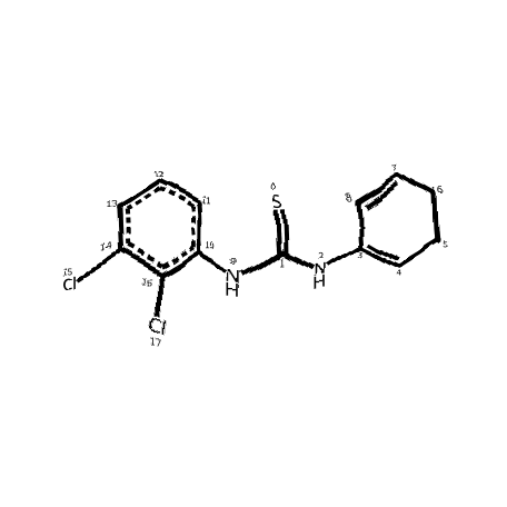 S=C(NC1=CC[CH]C=C1)Nc1cccc(Cl)c1Cl